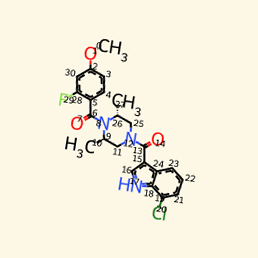 COc1ccc(C(=O)N2[C@H](C)CN(C(=O)c3c[nH]c4c(Cl)cccc34)C[C@H]2C)c(F)c1